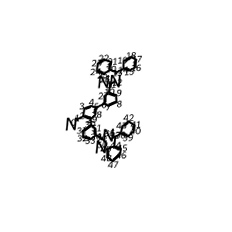 N#Cc1ccc(-c2cccc(-c3nc(-c4ccccc4)c4ccccc4n3)c2)cc1-c1cccc(-c2nc(-c3ccccc3)c3ccccc3n2)c1